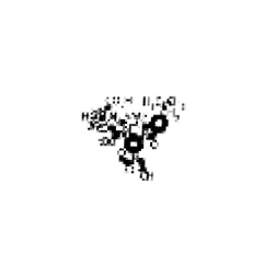 C#CCN1C(=O)COc2cc(F)c(N3C(=O)C4=C(CCCC4)C3=O)cc21.CSc1nnc(C(C)(C)C)c(=O)n1N.C[S+](C)C.O=C(O)CNCP(=O)([O-])O